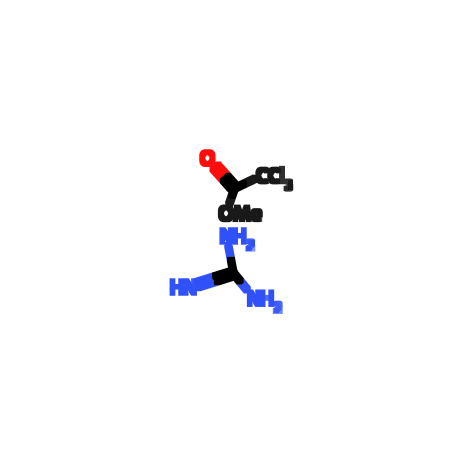 COC(=O)C(Cl)(Cl)Cl.N=C(N)N